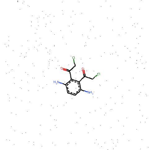 Nc1ccc(N)c(C(=O)CCl)c1C(=O)CCl